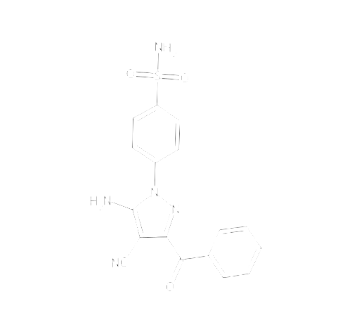 N#Cc1c(C(=O)c2ccccc2)nn(-c2ccc(S(N)(=O)=O)cc2)c1N